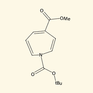 COC(=O)C1=CC=CN(C(=O)OC(C)(C)C)C=C1